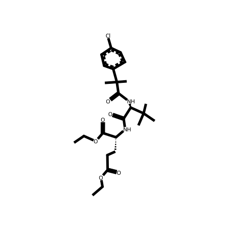 CCOC(=O)CC[C@@H](NC(=O)[C@@H](NC(=O)C(C)(C)c1ccc(Cl)cc1)C(C)(C)C)C(=O)OCC